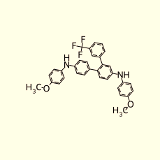 COc1ccc(Nc2ccc(-c3ccc(Nc4ccc(OC)cc4)cc3-c3cccc(C(F)(F)F)c3)cc2)cc1